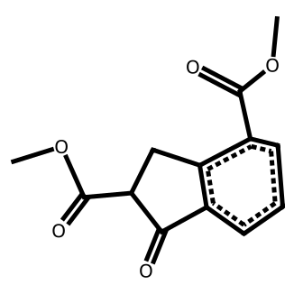 COC(=O)c1cccc2c1CC(C(=O)OC)C2=O